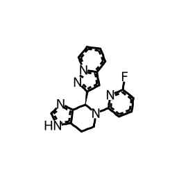 Fc1cccc(N2CCc3[nH]cnc3[C@H]2c2cc3ccccn3n2)n1